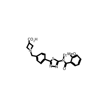 CCN(C(=O)c1ccccc1OC)c1nnc(-c2ccc(CN3CC(C(=O)O)C3)cc2)s1